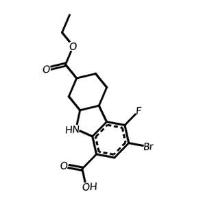 CCOC(=O)C1CCC2c3c(F)c(Br)cc(C(=O)O)c3NC2C1